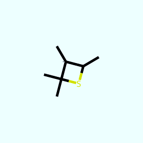 C[C]1C(C)SC1(C)C